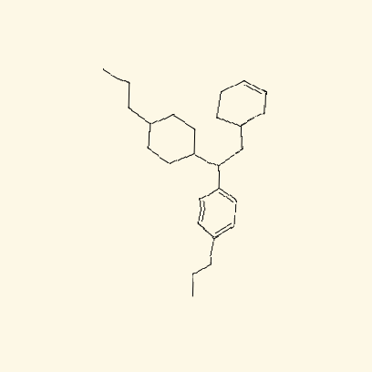 CCCc1ccc(C(CC2CC=CCC2)C2CCC(CCC)CC2)cc1